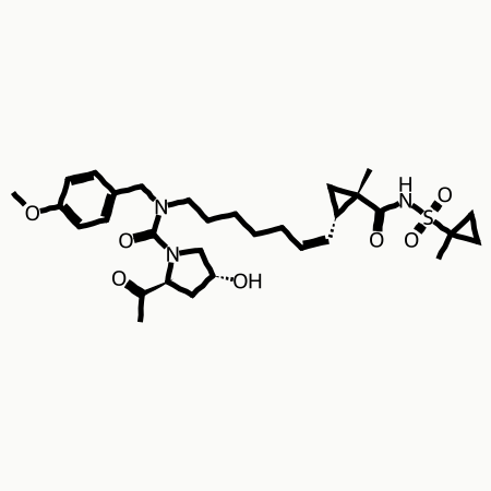 COc1ccc(CN(CCCCC/C=C\[C@@H]2C[C@]2(C)C(=O)NS(=O)(=O)C2(C)CC2)C(=O)N2C[C@H](O)C[C@H]2C(C)=O)cc1